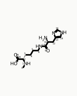 CN[C@@H](CCCCNC(=O)[C@@H](N)Cc1c[nH]cn1)C(=O)O